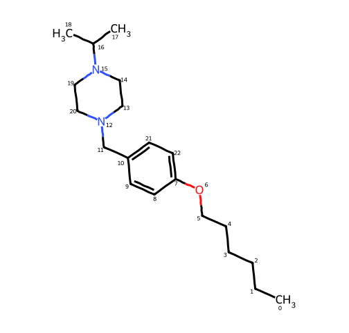 CCCCCCOc1ccc(CN2CCN(C(C)C)CC2)cc1